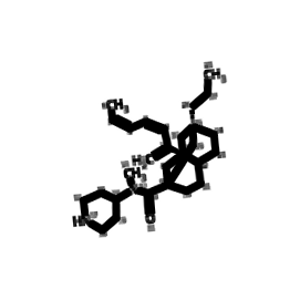 C=C(/C=C\C=C/C)[C@]12CC3(C(=O)N(C)C4CCNCC4)CCC1CC[C@@](CCC)(C3)C2